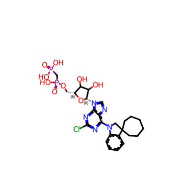 O=P(O)(O)CP(=O)(O)OC[C@H]1O[C@@H](n2cnc3c(N4CC5(CCCCCC5)c5ccccc54)nc(Cl)nc32)C(O)C1O